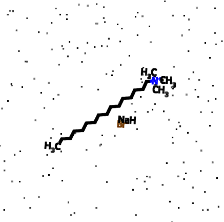 CCCCCCCCCCCCCCCC[N+](C)(C)C.[Br-].[NaH]